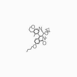 CCCCOc1ccc2c(-c3ccc4c(c3C)CCCO4)c(C(C#N)O[Si](C)(C)C)n(C)c(=O)c2c1